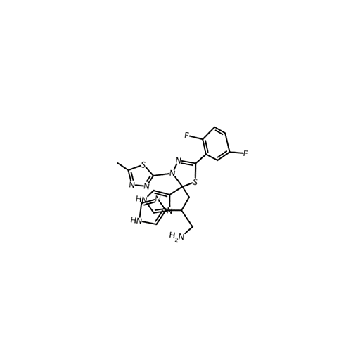 Cc1nnc(N2N=C(c3cc(F)ccc3F)SC2(CC(CN)c2c[nH]cn2)c2c[nH]cn2)s1